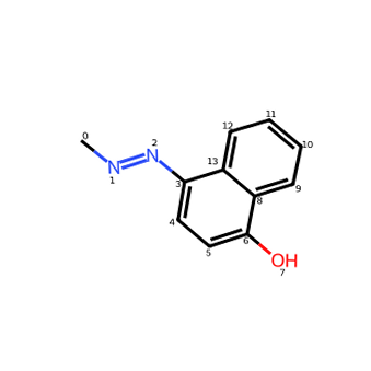 C/N=N/c1ccc(O)c2ccccc12